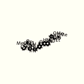 CCC(NC(=O)OC)C(=O)N1[C@@H](COC)CC[C@H]1c1nc2ccc3cc4c(cc3c2[nH]1)OCc1cc(-c2cnc([C@@H]3CC[C@H](CC5CCCOC5)N3C(=O)[C@H](CC)NC(=O)OC)[nH]2)ccc1-4